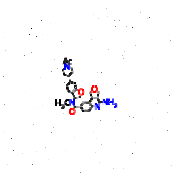 CC(=O)N1CC=C(c2ccc3c(c2)OCC3N(C)C(=O)c2ccc3nc(N)c4c(c3c2)COC4)CC1